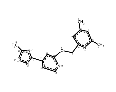 Cc1cc(C)nc(COc2cc(-c3noc(C(F)(F)F)n3)ccn2)c1